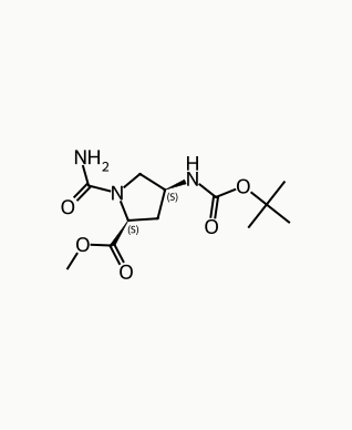 COC(=O)[C@@H]1C[C@H](NC(=O)OC(C)(C)C)CN1C(N)=O